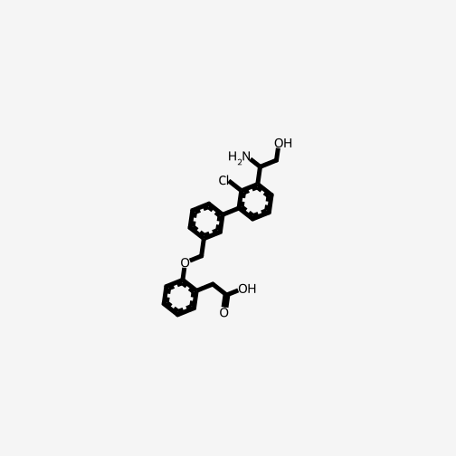 NC(CO)c1cccc(-c2cccc(COc3ccccc3CC(=O)O)c2)c1Cl